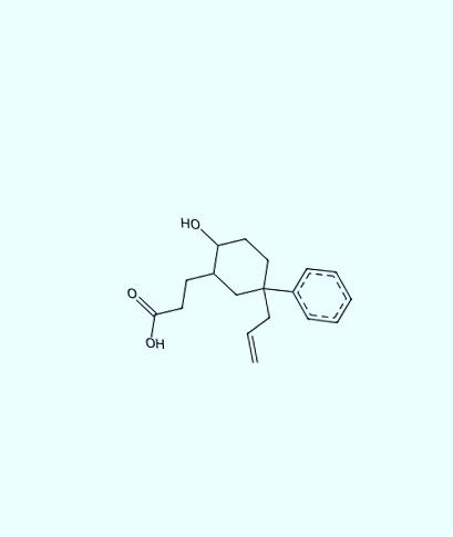 C=CCC1(c2ccccc2)CCC(O)C(CCC(=O)O)C1